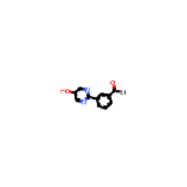 CCC(=O)c1cccc(-c2ncc(O)cn2)c1